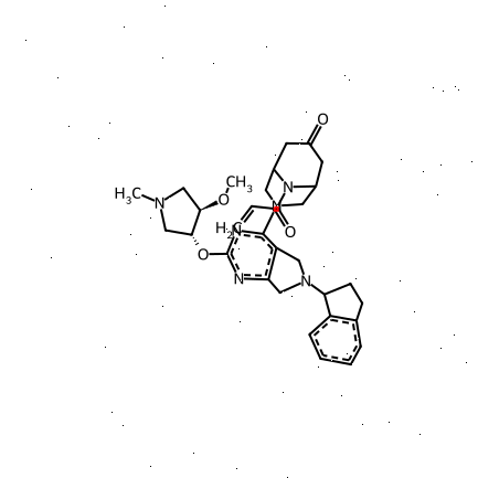 C=CC(=O)N1C2CC(=O)CC1CN(c1nc(O[C@@H]3CN(C)C[C@H]3OC)nc3c1CN(C1CCc4ccccc41)C3)C2